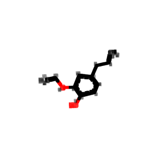 C=CCc1ccc(O)c(OC=C)c1